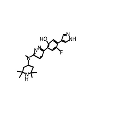 CN(c1ccc(-c2cc(F)c(-c3cn[nH]c3)cc2O)nn1)C1CC(C)(C)NC(C)(C)C1